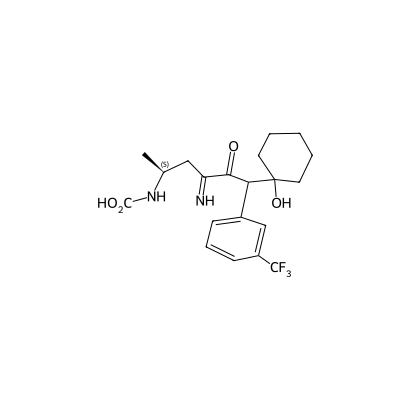 C[C@@H](CC(=N)C(=O)C(c1cccc(C(F)(F)F)c1)C1(O)CCCCC1)NC(=O)O